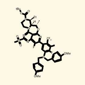 CC[C@H]1[C@H]2[C@H](C)Oc3nc(-c4cc(N(Cc5ccc(OC)cc5)Cc5ccc(OC)cc5)c(F)c(C)c4C(F)(F)F)c(F)c4nc(S(C)(=O)=O)nc(c34)N2CCN1C(=O)OC(C)(C)C